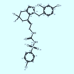 O=C(NCC=C1CC(F)(F)Cc2cnn(Cc3ccc(Cl)cc3Cl)c21)NS(=O)(=O)c1ccc(Cl)cc1